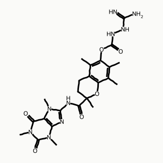 Cc1c(C)c2c(c(C)c1OC(=O)NNC(=N)N)CCC(C)(C(=O)Nc1nc3c(c(=O)n(C)c(=O)n3C)n1C)O2